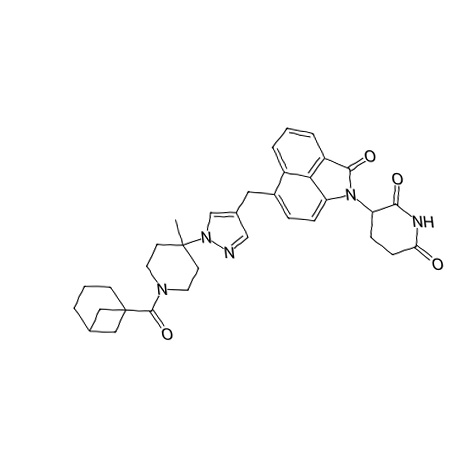 CC1(n2cc(Cc3ccc4c5c(cccc35)C(=O)N4C3CCC(=O)NC3=O)cn2)CCN(C(=O)C23CCCC(C2)C3)CC1